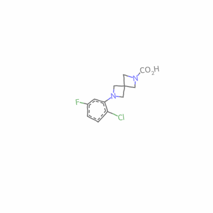 O=C(O)N1CC2(C1)CN(c1cc(F)ccc1Cl)C2